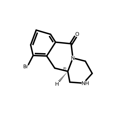 O=C1c2cccc(Br)c2C[C@@H]2CNCCN12